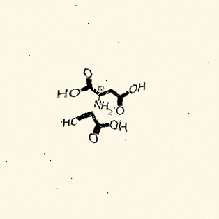 N[C@@H](CC(=O)O)C(=O)O.[CH]=CC(=O)O